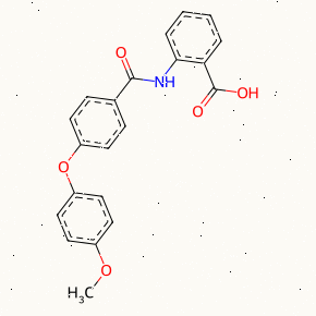 COc1ccc(Oc2ccc(C(=O)Nc3ccccc3C(=O)O)cc2)cc1